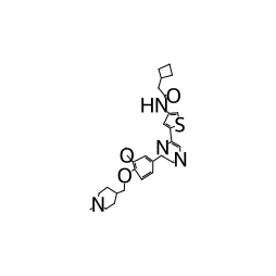 COc1cc(-c2cncc(-c3cc(NC(=O)CC4CCC4)cs3)n2)ccc1OCC1CCN(C)CC1